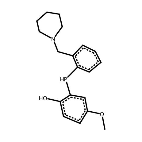 COc1ccc(O)c(Pc2ccccc2CN2CCCCC2)c1